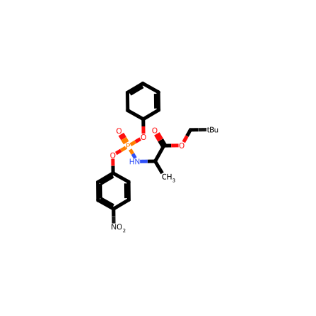 CC(NP(=O)(OC1=C=C=C([N+](=O)[O-])C=C1)OC1C=CC=CC1)C(=O)OCC(C)(C)C